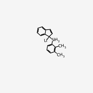 [Li][C]1([SiH2]c2cccc(C)c2C)C=Cc2ccccc21